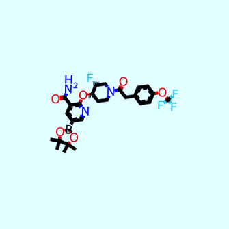 CC1(C)OB(c2cnc(O[C@@H]3CCN(C(=O)Cc4ccc(OC(F)(F)F)cc4)C[C@H]3F)c(C(N)=O)c2)OC1(C)C